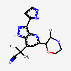 CC1NCCOC1c1cc(C(C)(C)C#N)c2[nH]nc(-c3ccn[nH]3)c2n1